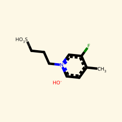 Cc1cc[n+](CCCS(=O)(=O)O)cc1F.[OH-]